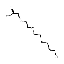 O=C(Cl)COCCOCCCCCCCl